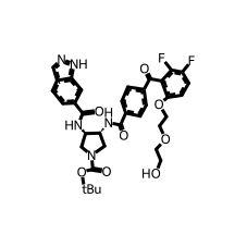 CC(C)(C)OC(=O)N1C[C@@H](NC(=O)c2ccc(C(=O)c3c(OCCOCCO)ccc(F)c3F)cc2)[C@H](NC(=O)c2ccc3cn[nH]c3c2)C1